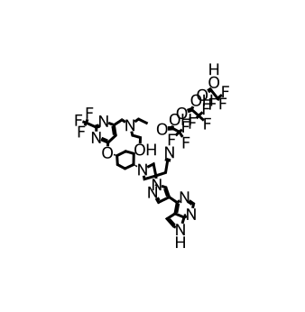 CCN(CCO)Cc1cc(O[C@H]2CC[C@@H](N3CC(CC#N)(n4cc(-c5ncnc6[nH]ccc56)cn4)C3)CC2)nc(C(F)(F)F)n1.O=C(O)C(F)(F)F.O=C(O)C(F)(F)F.O=C(O)C(F)(F)F